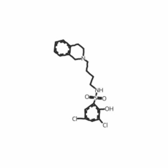 O=S(=O)(NCCCCN1CCc2ccccc2C1)c1cc(Cl)cc(Cl)c1O